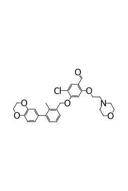 Cc1c(COc2cc(OCCN3CCOCC3)c(C=O)cc2Cl)cccc1-c1ccc2c(c1)OCCO2